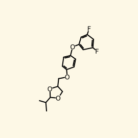 CC(C)C1OCC(COc2ccc(Oc3cc(F)cc(F)c3)cc2)O1